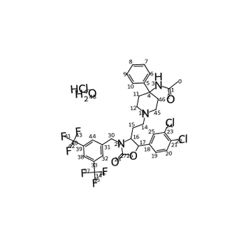 CC(=O)NC1(c2ccccc2)CCN(CCC2C(c3ccc(Cl)c(Cl)c3)OC(=O)N2Cc2cc(C(F)(F)F)cc(C(F)(F)F)c2)CC1.Cl.O